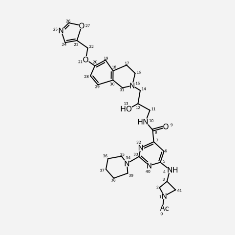 CC(=O)N1CC(Nc2cc(C(=O)NCC(O)CN3CCc4cc(OCc5cnco5)ccc4C3)nc(N3CCCCC3)n2)C1